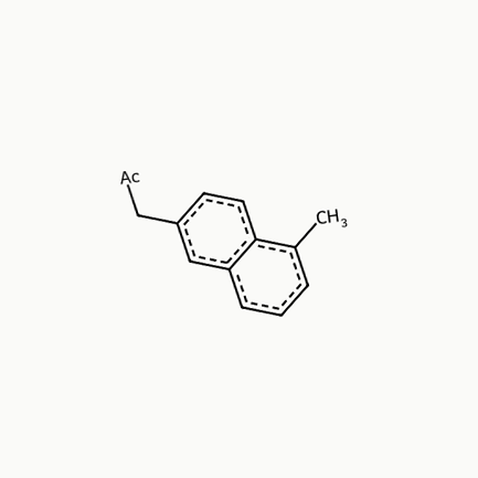 CC(=O)Cc1ccc2c(C)cccc2c1